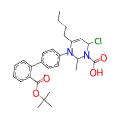 CCCCC1=CC(Cl)N(C(=O)O)C(C)N1c1ccc(-c2ccccc2C(=O)OC(C)(C)C)cc1